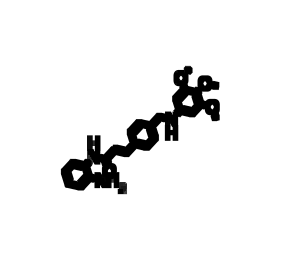 COc1cc(NCc2ccc(C=CC(=O)Nc3ccccc3N)cc2)cc(OC)c1OC